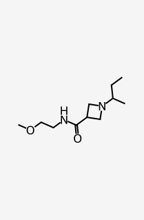 CCC(C)N1CC(C(=O)NCCOC)C1